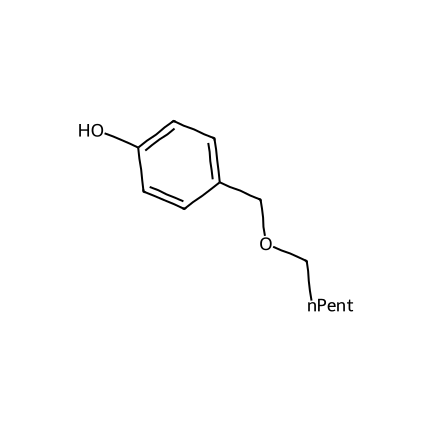 CCCCCCOCc1ccc(O)cc1